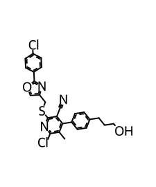 Cc1c(Cl)nc(SCc2coc(-c3ccc(Cl)cc3)n2)c(C#N)c1-c1ccc(CCCO)cc1